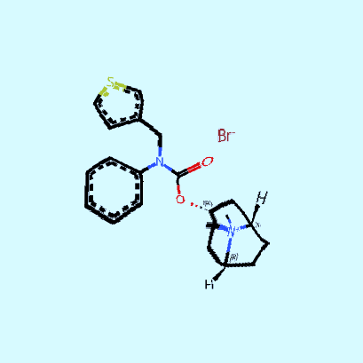 C[N+]1(C)[C@@H]2CC[C@H]1C[C@@H](OC(=O)N(Cc1ccsc1)c1ccccc1)C2.[Br-]